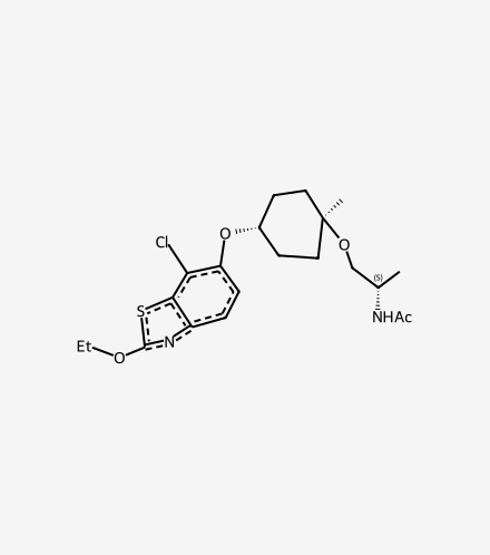 CCOc1nc2ccc(O[C@H]3CC[C@](C)(OC[C@H](C)NC(C)=O)CC3)c(Cl)c2s1